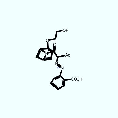 CC(=O)C(/N=N/c1ccccc1C(=O)O)C(=O)N1C2=CC=C(OCCO)C1=C2